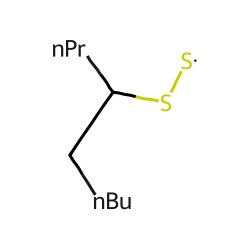 CCCCCC(CCC)S[S]